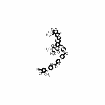 CC[C@@]1(O)C(=O)OCc2c1cc1n(c2=O)Cc2cc3c(CN4CCN(C(=O)C5CCN(c6ccc(C(=O)N[C@H]7CC[C@H](Oc8ccc(C#N)c(Cl)c8C)CC7)nn6)CC5)CC4)c(OC(=O)N4C[C@H](C)N(C)C[C@H]4C)ccc3nc2-1